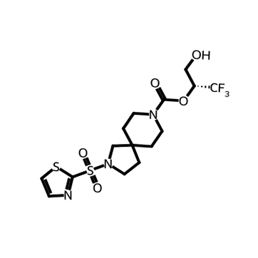 O=C(O[C@H](CO)C(F)(F)F)N1CCC2(CC1)CCN(S(=O)(=O)c1nccs1)C2